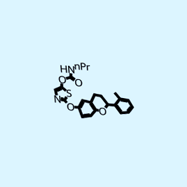 CCCNC(=O)Oc1cnc(Oc2ccc3c(c2)CCC(c2ccccc2C)O3)s1